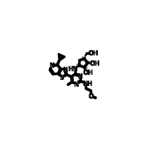 COCCNc1nc(C)c(-c2nc3c(C4CC4)nccc3s2)c(N[C@@H]2C[C@H](CO)[C@@H](O)[C@H]2O)n1